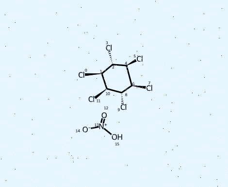 Cl[C@H]1[C@H](Cl)[C@@H](Cl)[C@@H](Cl)[C@H](Cl)[C@H]1Cl.O=[N+]([O-])O